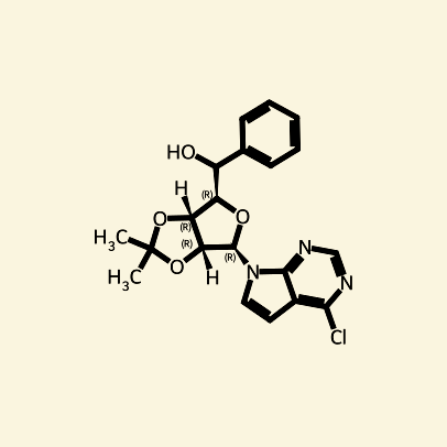 CC1(C)O[C@@H]2[C@H](O1)[C@@H](C(O)c1ccccc1)O[C@H]2n1ccc2c(Cl)ncnc21